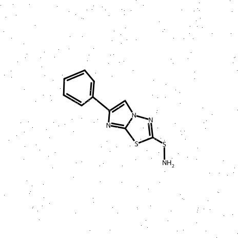 NSc1nn2cc(-c3ccccc3)nc2s1